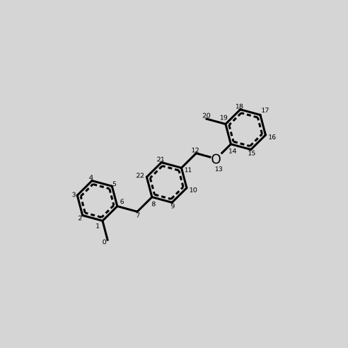 Cc1ccccc1Cc1ccc(COc2ccccc2C)cc1